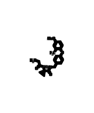 COc1ccc(Oc2ccc(CNC(=O)C3(NC(=O)CN)CC3)cc2)c(C(F)(F)F)c1